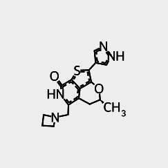 C[C@H]1Cc2c(CN3CCC3)[nH]c(=O)c3sc(-c4cn[nH]c4)c(c23)O1